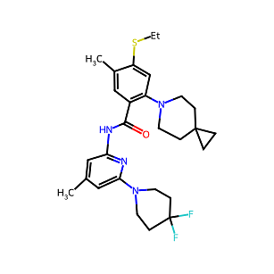 CCSc1cc(N2CCC3(CC2)CC3)c(C(=O)Nc2cc(C)cc(N3CCC(F)(F)CC3)n2)cc1C